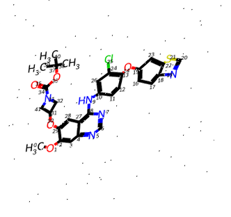 COc1cc2ncnc(Nc3ccc(Oc4ccc5ncsc5c4)c(Cl)c3)c2cc1OC1CN(C(=O)OC(C)(C)C)C1